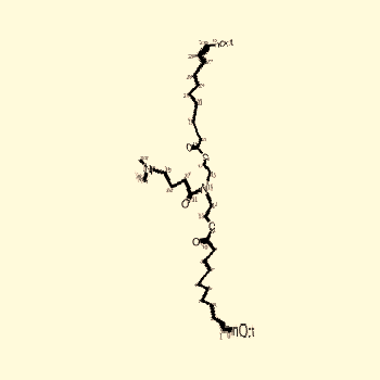 CCCCCCCC/C=C\CCCCCCCC(=O)OCCN(CCOC(=O)CCCCCCC/C=C\CCCCCCCC)C(=O)CCCN(C)C